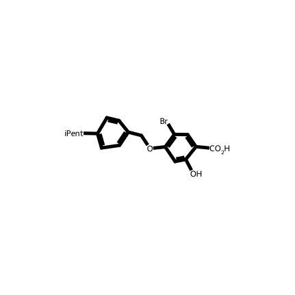 CCCC(C)c1ccc(COc2cc(O)c(C(=O)O)cc2Br)cc1